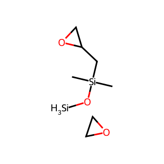 C1CO1.C[Si](C)(CC1CO1)O[SiH3]